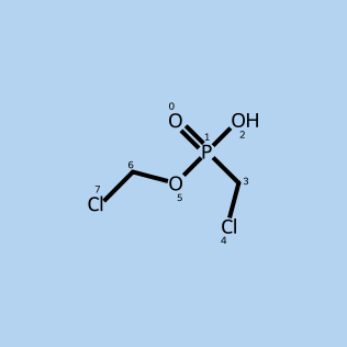 O=P(O)(CCl)OCCl